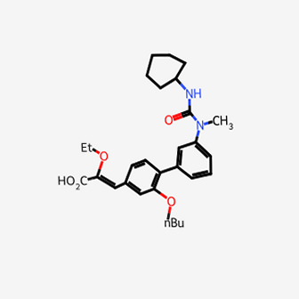 CCCCOc1cc(C=C(OCC)C(=O)O)ccc1-c1cccc(N(C)C(=O)NC2CCCCC2)c1